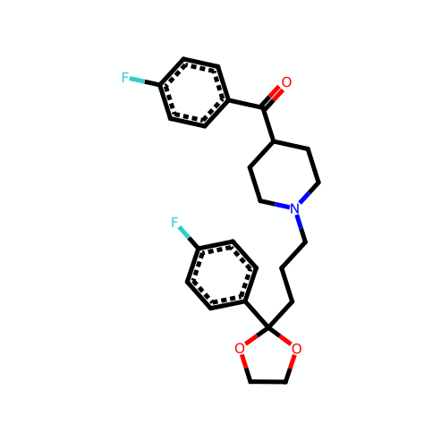 O=C(c1ccc(F)cc1)C1CCN(CCCC2(c3ccc(F)cc3)OCCO2)CC1